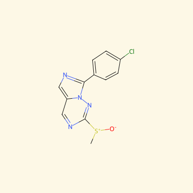 C[S+]([O-])c1ncc2cnc(-c3ccc(Cl)cc3)n2n1